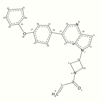 C=CC(=O)N1CC(n2ccc3ncc(-c4ccc(Oc5ccccc5)cc4)cc32)C1